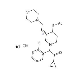 CC(=O)SC1CCN(C(C(=O)C2CC2)c2ccccc2F)C/C1=C/CN1CCSCC1.Cl.Cl